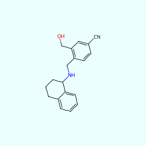 N#Cc1ccc(CNC2CCCc3ccccc32)c(CO)c1